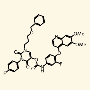 COc1cc2nccc(Oc3ccc(NC(=O)Oc4cn(CCCOCc5ccccc5)c(=O)n(-c5ccc(F)cc5)c4=O)cc3F)c2cc1OC